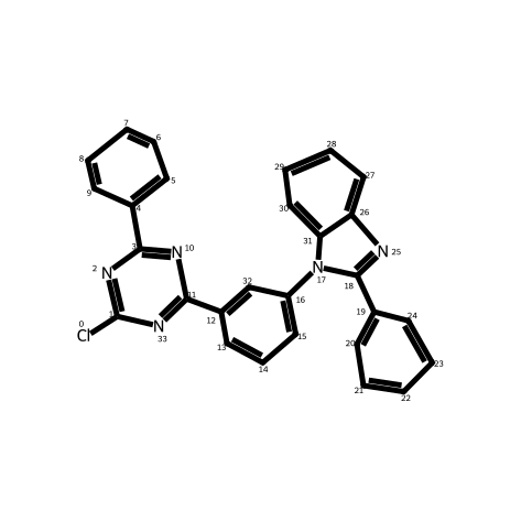 Clc1nc(-c2ccccc2)nc(-c2cccc(-n3c(-c4ccccc4)nc4ccccc43)c2)n1